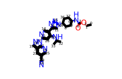 CCOC(=O)N[C@H]1CC[C@H](n2cc(-c3cnc(-n4ncc5cc(C#N)cnc54)cc3NC(C)C)nn2)CC1